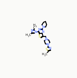 Cc1cn(-c2nc(N3CCCCC3)nc3c(CN4CCN(c5ncc(C)s5)CC4)csc23)c(C)n1